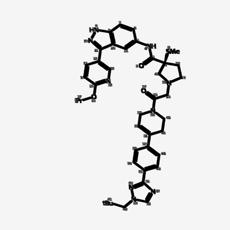 CS[C@@]1(C(=O)Nc2ccc3[nH]nc(-c4ccc(OC(C)C)nc4)c3c2)CCN(CC(=O)N2CC=C(c3ccc(-c4ncn(CC(C)(C)C)n4)cc3)CC2)C1